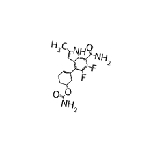 Cc1cc2c(C3=CCCC(OC(N)=O)C3)c(F)c(F)c(C(N)=O)c2[nH]1